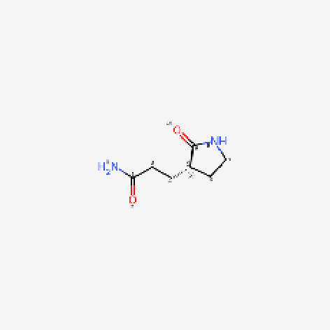 NC(=O)CC[C@H]1CCNC1=O